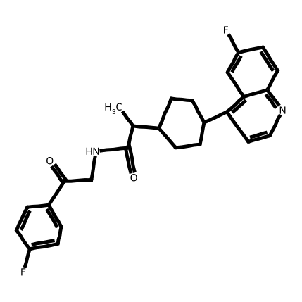 CC(C(=O)NCC(=O)c1ccc(F)cc1)C1CCC(c2ccnc3ccc(F)cc23)CC1